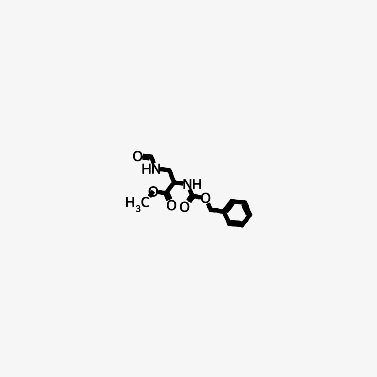 COC(=O)C(CNC=O)NC(=O)OCc1ccccc1